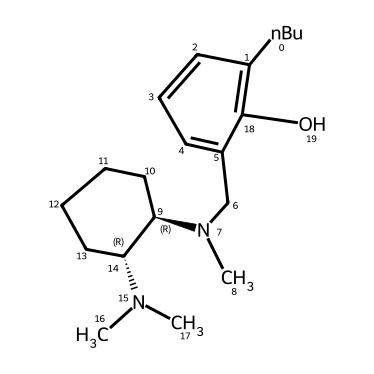 CCCCc1cccc(CN(C)[C@@H]2CCCC[C@H]2N(C)C)c1O